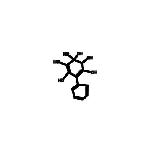 OC1=C(O)C(O)(O)C(O)C(O)=C1c1ccccc1